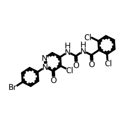 O=C(NC(=O)c1c(Cl)cccc1Cl)Nc1cnn(-c2ccc(Br)cc2)c(=O)c1Cl